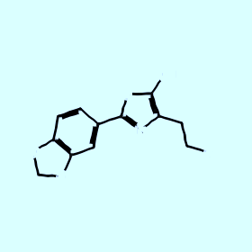 Cc1sc(-c2ccc3c(c2)OCO3)nc1CCO